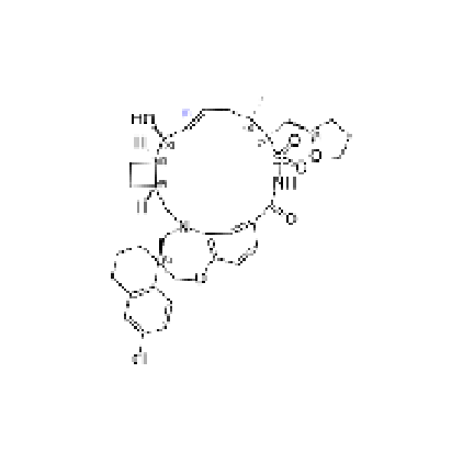 C[C@H]1C/C=C/[C@H](O)[C@@H]2CC[C@H]2CN2C[C@@]3(CCCc4cc(Cl)ccc43)COc3ccc(cc32)C(=O)NS(=O)(=O)[C@H]1C[C@H]1CCCO1